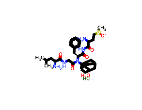 CC(C)C[C@H](N)C(=O)NCC(=O)N(C1C2CC3CC(C2)CC1C3)[C@@H](Cc1ccccc1)C(=O)NC(=O)C(N)CC[S+](C)[O-].Cl.O